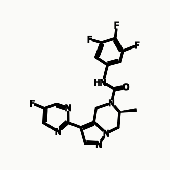 C[C@H]1Cn2ncc(-c3ncc(F)cn3)c2CN1C(=O)Nc1cc(F)c(F)c(F)c1